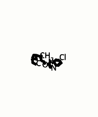 CC1C(COc2cnc3ccc(Cl)cc3n2)CCCC2CC1C2